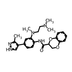 Cc1n[nH]cc1-c1ccc(NC(=O)C2COc3ccccc3O2)c(N(C)CCN(C)C)c1